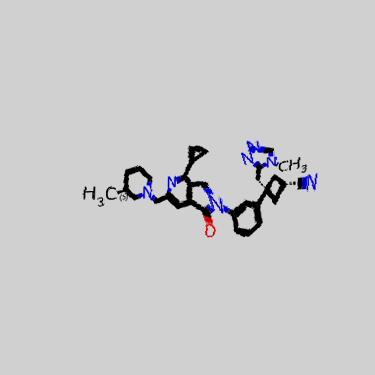 C[C@H]1CCCN(Cc2cc3c(c(C4CC4)n2)CN(c2cccc([C@]4(Cc5nncn5C)C[C@@H](C#N)C4)c2)C3=O)C1